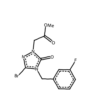 COC(=O)Cn1nc(Br)n(Cc2cccc(F)c2)c1=O